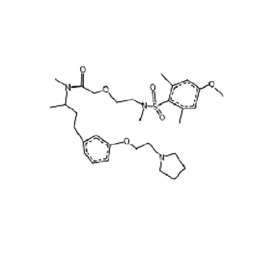 COc1cc(C)c(S(=O)(=O)N(C)CCOCC(=O)N(C)C(C)CCc2cccc(OCCN3CCCC3)c2)c(C)c1